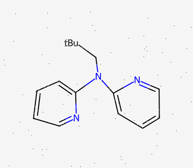 CC(C)(C)CN(c1ccccn1)c1ccccn1